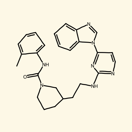 Cc1ccccc1NC(=O)N1CCCC(CCNc2nccc(-n3cnc4ccccc43)n2)C1